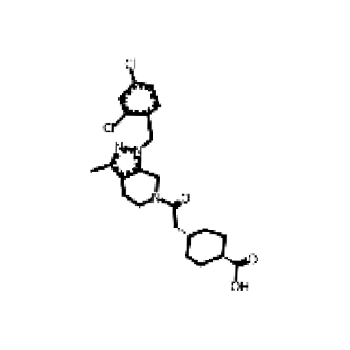 Cc1nn(Cc2ccc(Cl)cc2Cl)c2c1CCN(C(=O)C[C@H]1CC[C@H](C(=O)O)CC1)C2